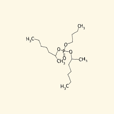 CCCCCC(C)OP(=O)(OCCCC)OC(C)CCCCC